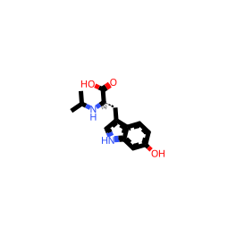 CC(C)N[C@@H](Cc1c[nH]c2cc(O)ccc12)C(=O)O